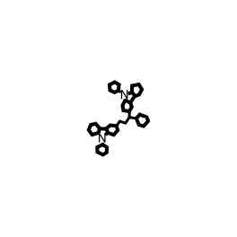 c1ccc(C(CCc2ccc3c(c2)c2ccccc2n3-c2ccccc2)c2ccc3c(c2)c2ccccc2n3-c2ccccc2)cc1